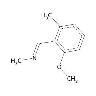 C/N=C/c1c(C)cccc1OC